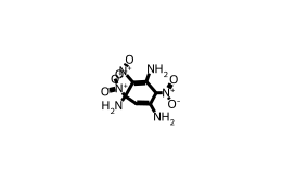 NC1=CC(N)([N+](=O)[O-])C([N+](=O)[O-])=C(N)C1[N+](=O)[O-]